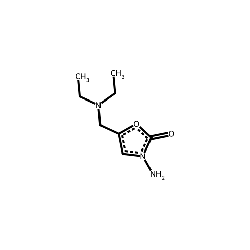 CCN(CC)Cc1cn(N)c(=O)o1